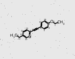 CCOc1ccc(C#Cc2ccc(CC)cn2)cc1